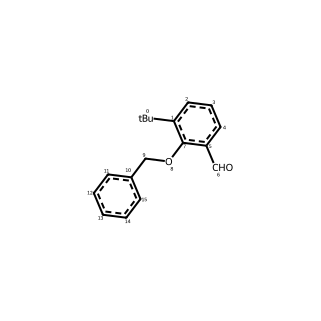 CC(C)(C)c1cccc(C=O)c1OCc1ccccc1